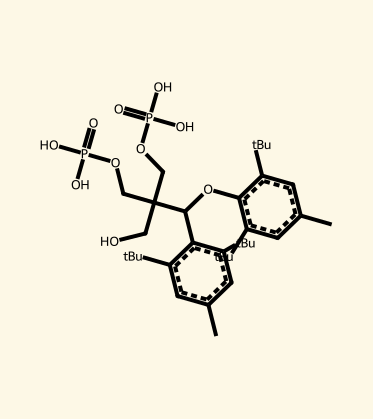 Cc1cc(C(C)(C)C)c(OC(c2c(C(C)(C)C)cc(C)cc2C(C)(C)C)C(CO)(COP(=O)(O)O)COP(=O)(O)O)c(C(C)(C)C)c1